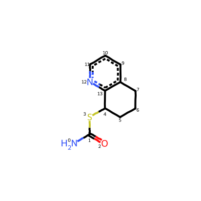 NC(=O)SC1CCCc2cccnc21